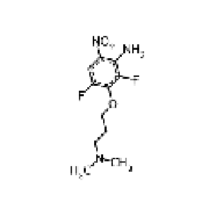 CN(C)CCCOc1c(F)cc([N+](=O)[O-])c(N)c1F